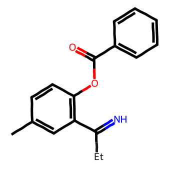 CCC(=N)c1cc(C)ccc1OC(=O)c1ccccc1